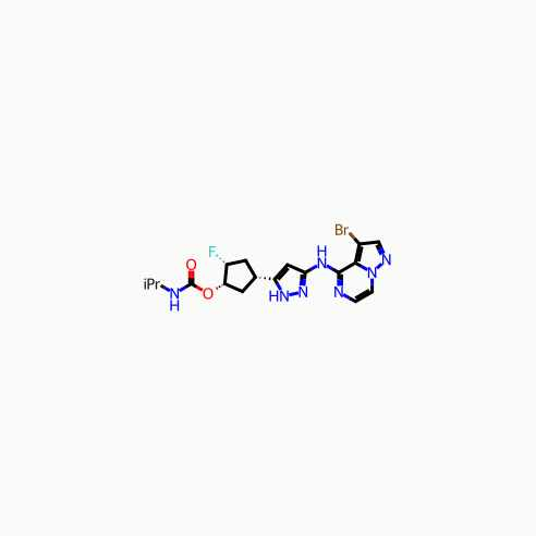 CC(C)NC(=O)O[C@H]1C[C@@H](c2cc(Nc3nccn4ncc(Br)c34)n[nH]2)C[C@H]1F